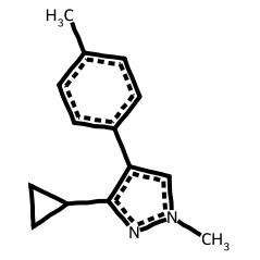 Cc1ccc(-c2cn(C)nc2C2CC2)cc1